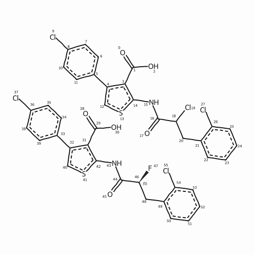 O=C(O)c1c(-c2ccc(Cl)cc2)csc1NC(=O)C(Cl)Cc1ccccc1Cl.O=C(O)c1c(-c2ccc(Cl)cc2)csc1NC(=O)[C@@H](F)Cc1ccccc1Cl